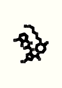 COCCOCCN1CCN(C(=O)c2cc(C(C)(C)C)sc2NC(=O)Nc2cccc(Cl)c2Cl)CCC1=O